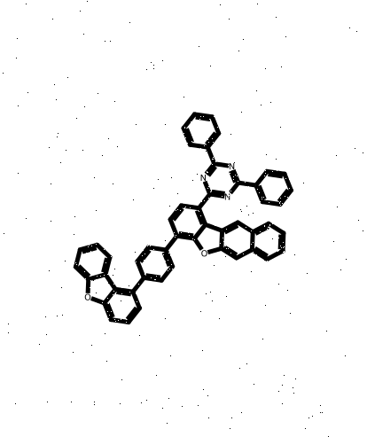 c1ccc(-c2nc(-c3ccccc3)nc(-c3ccc(-c4ccc(-c5cccc6oc7ccccc7c56)cc4)c4oc5cc6ccccc6cc5c34)n2)cc1